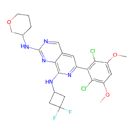 COc1cc(OC)c(Cl)c(-c2cc3cnc(NC4CCCOC4)nc3c(NC3CC(F)(F)C3)n2)c1Cl